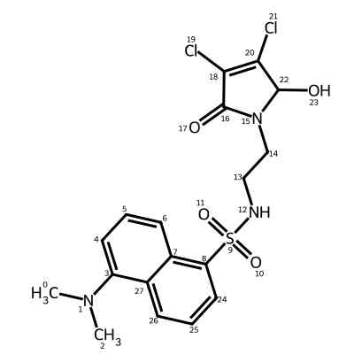 CN(C)c1cccc2c(S(=O)(=O)NCCN3C(=O)C(Cl)=C(Cl)C3O)cccc12